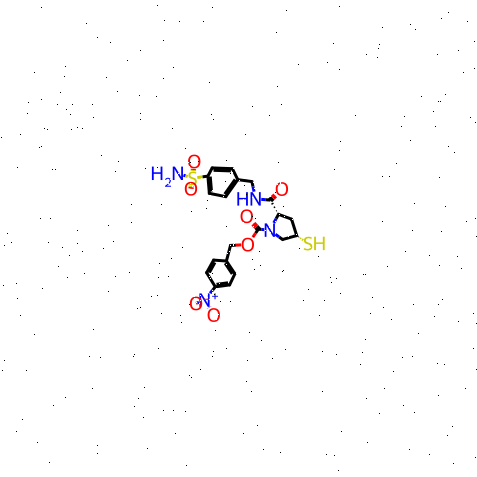 NS(=O)(=O)c1ccc(CNC(=O)[C@@H]2C[C@H](S)CN2C(=O)OCc2ccc([N+](=O)[O-])cc2)cc1